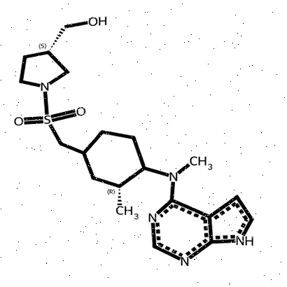 C[C@@H]1CC(CS(=O)(=O)N2CC[C@H](CO)C2)CCC1N(C)c1ncnc2[nH]ccc12